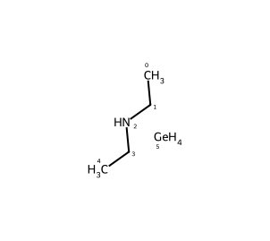 CCNCC.[GeH4]